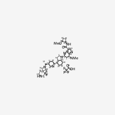 CNc1cc(N2CCc3c(-c4ccc([C@@H](C)N5CC6(CCNCC6(F)F)C5)cn4)cccc32)nn2c(C(=O)N[C@@H]3CC[C@H]3OC)cnc12.O=C(O)C(F)(F)F